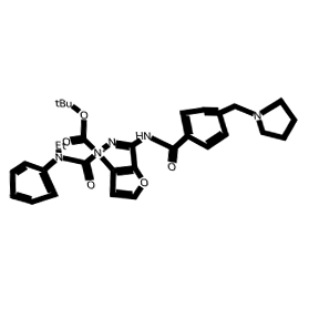 CCN(C(=O)[N+]1(C(=O)OC(C)(C)C)N=C(NC(=O)c2ccc(CN3CCCC3)cc2)c2occc21)c1ccccc1